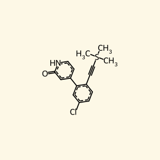 CS(C)(C)C#Cc1ccc(Cl)cc1-c1cc[nH]c(=O)c1